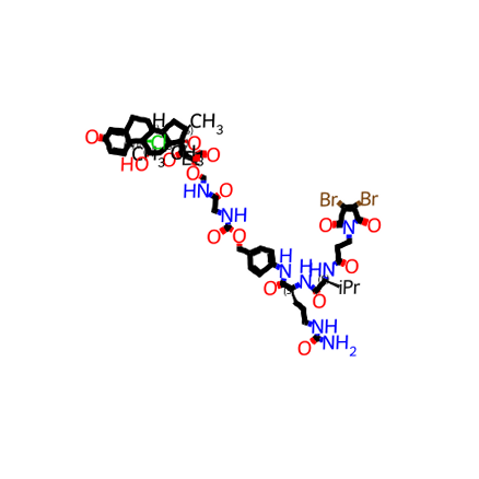 CCC(=O)O[C@]1(C(=O)COCNC(=O)CNC(=O)OCc2ccc(NC(=O)[C@H](CCCNC(N)=O)NC(=O)[C@@H](NC(=O)CCN3C(=O)C(Br)=C(Br)C3=O)C(C)C)cc2)[C@@H](C)CC2[C@@H]3CCC4=CC(=O)C=C[C@]4(C)[C@@]3(Cl)[C@@H](O)C[C@@]21C